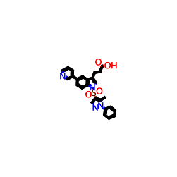 Cc1c(S(=O)(=O)n2cc(CCC(=O)O)c3cc(-c4cccnc4)ccc32)cnn1-c1ccccc1